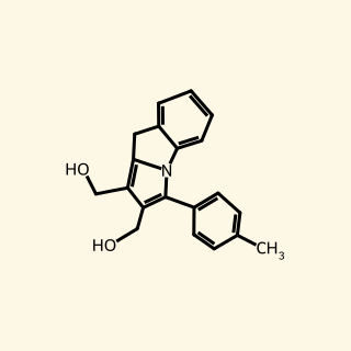 Cc1ccc(-c2c(CO)c(CO)c3n2-c2ccccc2C3)cc1